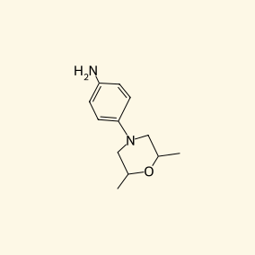 CC1CN(c2ccc(N)cc2)CC(C)O1